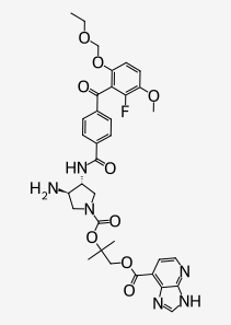 CCOCOc1ccc(OC)c(F)c1C(=O)c1ccc(C(=O)N[C@@H]2CN(C(=O)OC(C)(C)COC(=O)c3ccnc4[nH]cnc34)C[C@H]2N)cc1